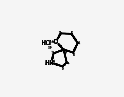 C1CCC2(CCNC2)OC1.Cl